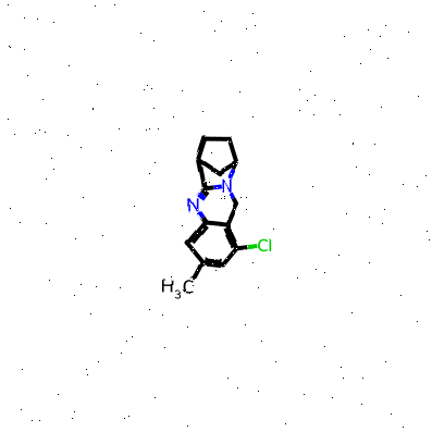 Cc1cc(Cl)c2c(c1)N=C1C3CCC(C3)N1C2